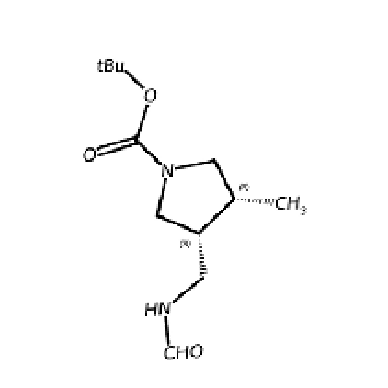 C[C@H]1CN(C(=O)OC(C)(C)C)C[C@H]1CNC=O